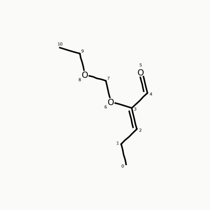 CCC=C(C=O)OCOCC